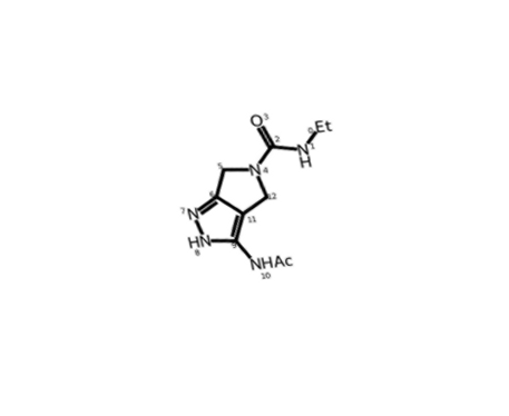 CCNC(=O)N1Cc2n[nH]c(NC(C)=O)c2C1